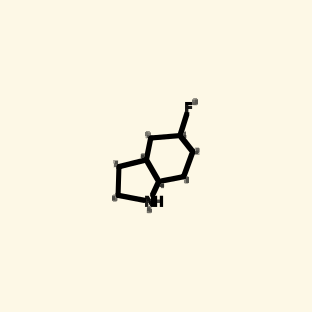 FC1CCC2NCCC2C1